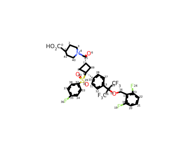 O=C(O)C1CCN(C(=O)[C@H]2C[C@](c3ccc(C(OCc4c(F)cccc4F)(C(F)(F)F)C(F)(F)F)cc3)(S(=O)(=O)c3ccc(F)cc3)C2)CC1